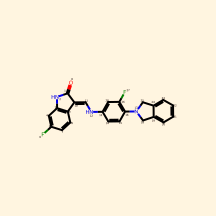 O=C1Nc2cc(F)ccc2/C1=C\Nc1ccc(N2Cc3ccccc3C2)c(F)c1